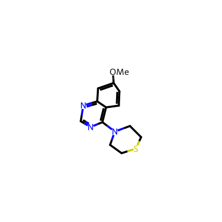 COc1ccc2c(N3CCSCC3)ncnc2c1